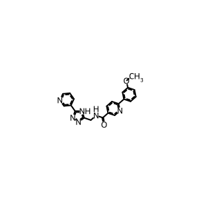 COc1cccc(-c2ccc(C(=O)NCc3nnc(-c4cccnc4)[nH]3)cn2)c1